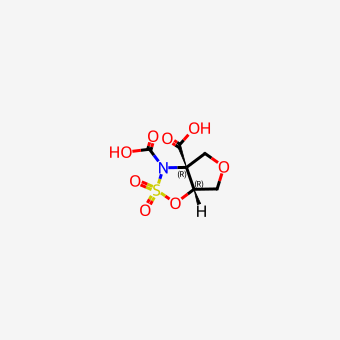 O=C(O)N1[C@]2(C(=O)O)COC[C@@H]2OS1(=O)=O